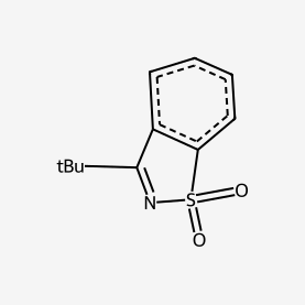 CC(C)(C)C1=NS(=O)(=O)c2ccccc21